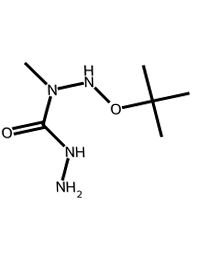 CN(NOC(C)(C)C)C(=O)NN